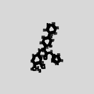 Cc1ccc(CN(C(=O)Cn2ccnn2)c2ccc(-c3cccnc3)cc2)cc1Cl